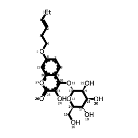 CCC=CCCOc1ccc2c(O[C@H]3O[C@H](CO)[C@@H](O)[C@H](O)[C@@H]3O)c(O)c(=O)oc2c1